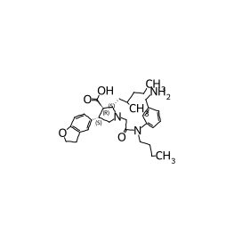 CCCCN(C(=O)CN1C[C@H](c2ccc3c(c2)CCO3)[C@@H](C(=O)O)[C@@H]1CC(C)CCC)c1cccc(CN)c1